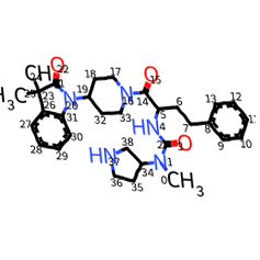 CN(C(=O)NC(CCc1ccccc1)C(=O)N1CCC(N2C(=O)C(C)(C)c3ccccc32)CC1)C1CCNC1